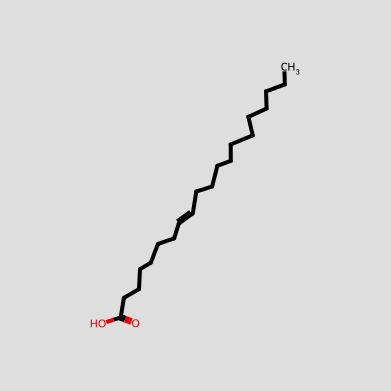 CCCCCCCCCCCC=CCCCCCCC(=O)O